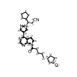 N#CC[C@H](C1CCCC1)n1cc(-c2ncnc3c2ccn3C(=O)CCCC[C@@H]2CC[S+]([O-])S2)cn1